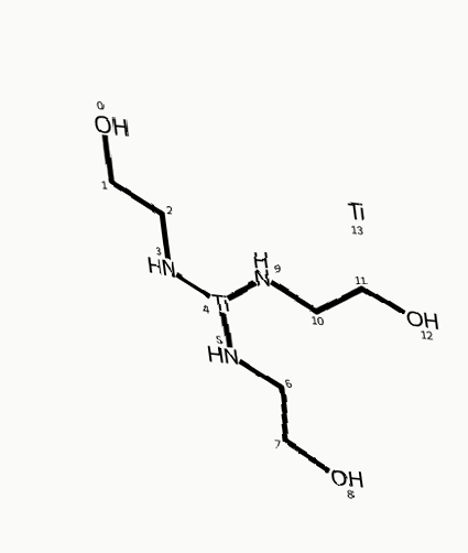 OCC[NH][Ti]([NH]CCO)[NH]CCO.[Ti]